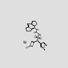 CC(C)N1CC(N(c2cnn(C)c2)S(=O)(=O)NC(=O)Nc2c3c(cc4c2CCC4)CCC3)C1.[Na]